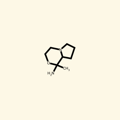 CC1(N)OCCN2CCCC21